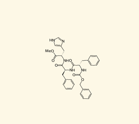 COC(=O)[C@H](Cc1c[nH]cn1)NC(=O)[C@H](Cc1ccccc1)NC(=O)[C@H](Cc1ccccc1)NC(=O)OCc1ccccc1